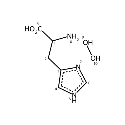 NC(Cc1c[nH]cn1)C(=O)O.OO